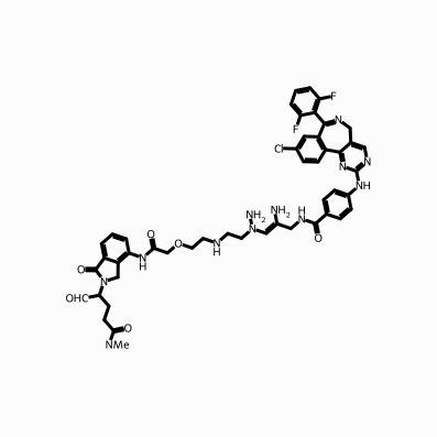 CNC(=O)CCC(C=O)N1Cc2c(NC(=O)COCCNCCN(N)/C=C(\N)CNC(=O)c3ccc(Nc4ncc5c(n4)-c4ccc(Cl)cc4C(c4c(F)cccc4F)=NC5)cc3)cccc2C1=O